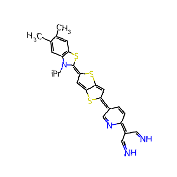 Cc1cc2c(cc1C)N(C(C)C)/C(=c1\cc3s/c(=c4/ccc(=C(C=N)C=N)nc4)cc3s1)S2